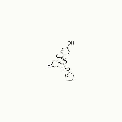 O=C(NOC1CCCCO1)C1(S(=O)(=O)c2ccc(O)cc2)CCNCC1